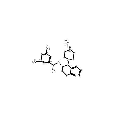 CC(O[C@H]1CCc2ccccc2[C@@H]1N1CCNCC1)c1cc(C(F)(F)F)cc(C(F)(F)F)c1.Cl.Cl